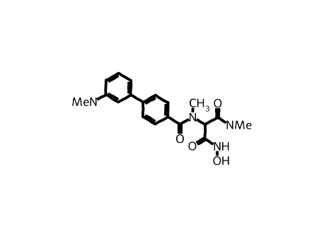 CNC(=O)C(C(=O)NO)N(C)C(=O)c1ccc(-c2cccc(NC)c2)cc1